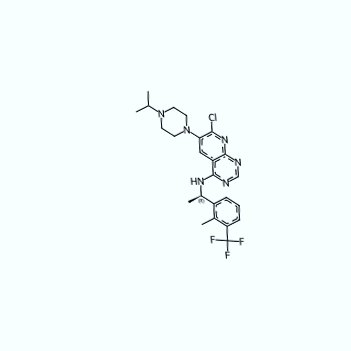 Cc1c([C@@H](C)Nc2ncnc3nc(Cl)c(N4CCN(C(C)C)CC4)cc23)cccc1C(F)(F)F